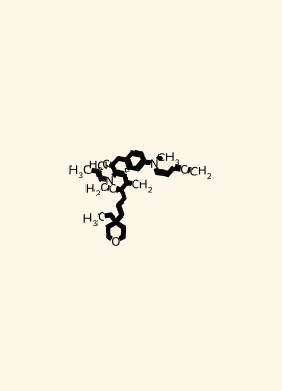 C=C=C/C=C\N(C)c1ccc(CC(=C)C(/N=C\C(=C)C)=C(\F)C(=C)C(=C=C)CCCC2(CC)CCOCC2)cc1